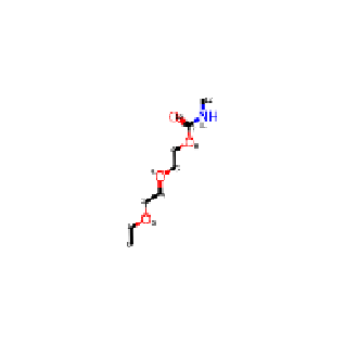 CCOCCOCCOC(=O)NC